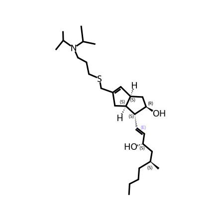 CCCC[C@H](C)C[C@H](O)/C=C/[C@@H]1[C@H]2CC(CSCCCN(C(C)C)C(C)C)=C[C@H]2C[C@H]1O